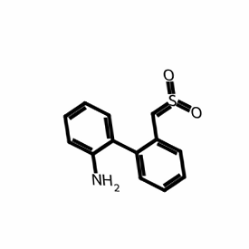 Nc1ccccc1-c1ccccc1C=S(=O)=O